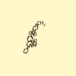 CN1CCN(S(=O)(=O)c2ccc3c(c2)S(=O)(=O)N[C@@H](C2CCCC2)C3)CC1